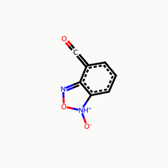 O=C=c1cccc2c1=NO[NH+]2[O-]